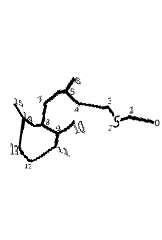 CCSCCC(C)CC1C(C)CCCC1C